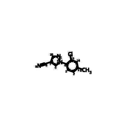 Cc1ccc(-n2cc(C#N)cn2)c(Cl)c1